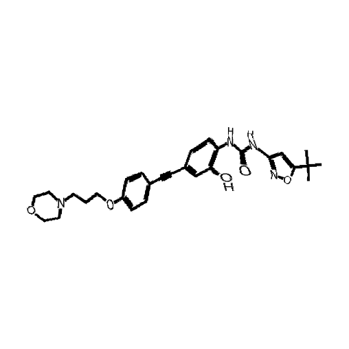 CC(C)(C)c1cc(NC(=O)Nc2ccc(C#Cc3ccc(OCCCN4CCOCC4)cc3)cc2O)no1